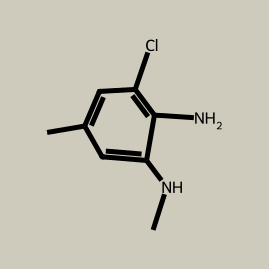 CNc1cc(C)cc(Cl)c1N